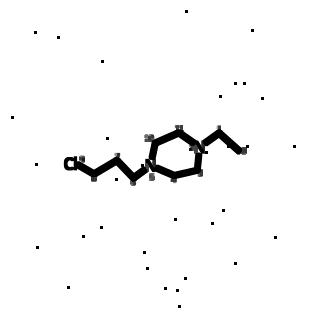 CCN1CCN(CCCCl)CC1